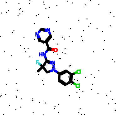 CC1(F)CN(c2ccc(Cl)c(Cl)c2)N=C1NC(=O)c1cncnc1